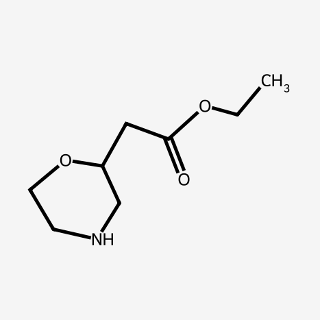 CCOC(=O)CC1CNCCO1